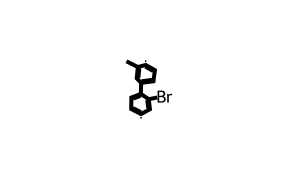 Cc1[c]ccc(-c2cc[c]cc2Br)c1